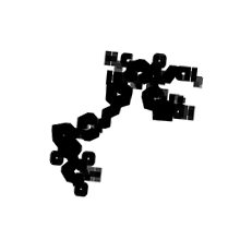 C=CCn1c(=O)c2cc(C)c(Nc3ccc(CCCN4CCN(c5cccc6c5CC(C5CCC(=O)NC5=O)C6=O)CC4)cc3)nc2n1-c1ccc2c(n1)[C@@](O)(CC)CC2